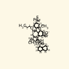 CCCOc1cc(C(F)(F)F)ccc1C1=NCc2n(CC)nc(NS(=O)(=O)c3cccc4ccccc34)[n+]2-c2cc(Br)cc(OC)c21.[OH-]